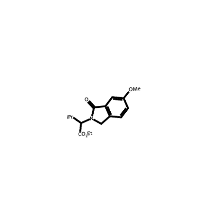 CCOC(=O)C(C(C)C)N1Cc2ccc(OC)cc2C1=O